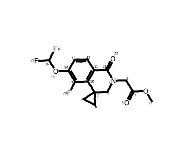 COC(=O)CN1CC2(CC2)c2c(ccc(OC(F)F)c2F)C1=O